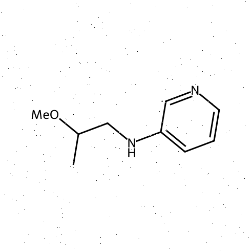 COC(C)CNc1[c]nccc1